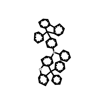 c1ccc(N(c2ccc(C3(c4ccccc4)c4ccccc4-c4ccccc43)cc2)c2ccc3c(c2)C(c2ccccc2)(c2ccccc2)c2ccccc2O3)cc1